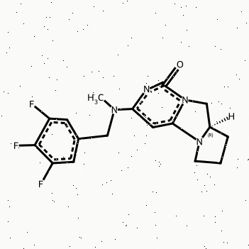 CN(Cc1cc(F)c(F)c(F)c1)c1cc2n(c(=O)n1)C[C@H]1CCCN21